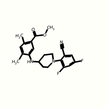 COC(=O)c1cc(NC2CCN(c3c(F)cc(F)cc3C#N)CC2)c(C)cc1C